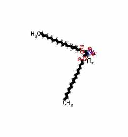 CCCCCCCCCCCCCCCCCC(=O)OCC(C)(COC(=O)CCCCCCCCCCCCCCCCC)[N+](=O)[O-]